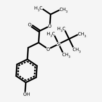 CC(C)OC(=O)C(Cc1ccc(O)cc1)O[Si](C)(C)C(C)(C)C